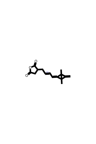 C=C1C2(C)C(=C/C=C/CC3CC(=O)OC3=O)C12C